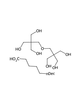 CCCCCCCCCCCCCCC(=O)O.OCC(CO)(CO)COCC(CO)(CO)CO